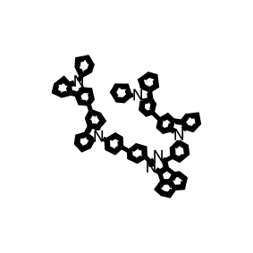 c1ccc(-n2c3ccccc3c3cc(-c4ccc5c(c4)c4ccccc4n5-c4ccc(-c5ccc(-c6nc(-c7cccc(-n8c9ccccc9c9cc(-c%10ccc%11c(c%10)c%10ccccc%10n%11-c%10ccccc%10)ccc98)c7)c7c(n6)-c6cccc8cccc-7c68)cc5)cc4)ccc32)cc1